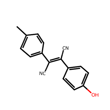 Cc1ccc(/C(C#N)=C(\C#N)c2ccc(O)cc2)cc1